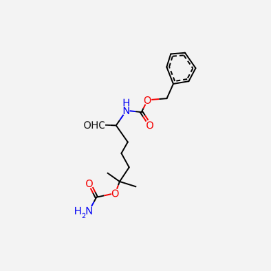 CC(C)(CCCC(C=O)NC(=O)OCc1ccccc1)OC(N)=O